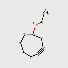 CCOC1CC#CCCCC1